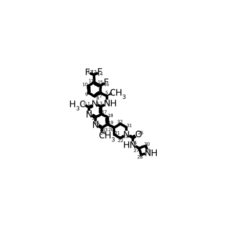 Cc1nc(N[C@H](C)c2cccc(C(F)F)c2F)c2cc(C3CCN(C(=O)NC4CNC4)CC3)c(C)nc2n1